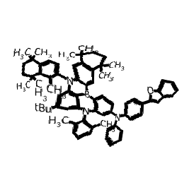 Cc1cccc(C)c1N1c2cc(N(c3ccccc3)c3ccc(-c4cc5ccccc5o4)cc3)ccc2B2c3cc4c(cc3N(C3=CC=C5C(C3C)C(C)(C)CCC5(C)C)c3cc(C(C)(C)C)cc1c32)C(C)(C)CCC4(C)C